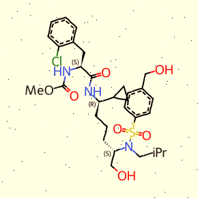 COC(=O)N[C@@H](Cc1ccccc1Cl)C(=O)N[C@H](CCC[C@@H](CO)N(CC(C)C)S(=O)(=O)c1ccc(CO)cc1)C1CC1